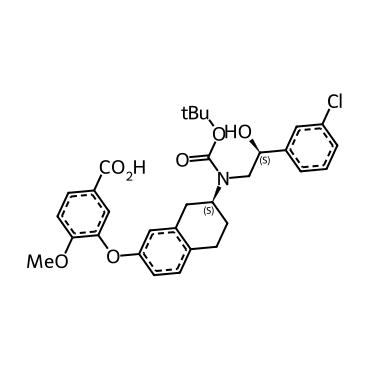 COc1ccc(C(=O)O)cc1Oc1ccc2c(c1)C[C@@H](N(C[C@@H](O)c1cccc(Cl)c1)C(=O)OC(C)(C)C)CC2